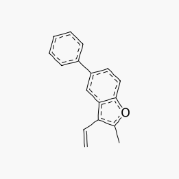 C=Cc1c(C)oc2ccc(-c3ccccc3)cc12